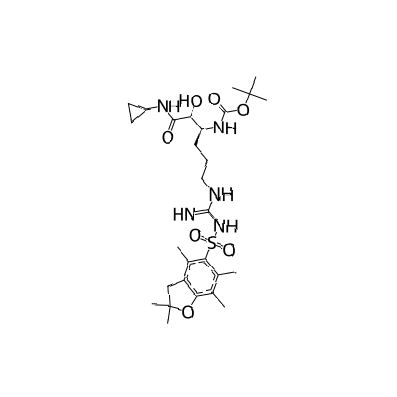 Cc1c(C)c(S(=O)(=O)NC(=N)NCCC[C@H](NC(=O)OC(C)(C)C)C(O)C(=O)NC2CC2)c(C)c2c1OC(C)(C)C2